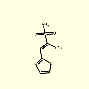 CCCC/C(=C\c1nccs1)S(N)(=O)=O